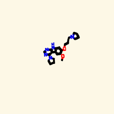 COc1cc2c(cc1OCCCN1CCCC1)[nH]c1ncnc(N3CCCC3)c12